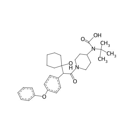 CC(C)(C)N(C(=O)O)C1CCN(C(=O)C(c2ccc(Oc3ccccc3)cc2)C2(O)CCCCC2)CC1